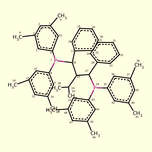 Cc1cc(C)cc(P(c2cc(C)cc(C)c2)C(c2ccccc2)C(C(C)C)C(c2ccccc2)P(c2cc(C)cc(C)c2)c2cc(C)cc(C)c2)c1